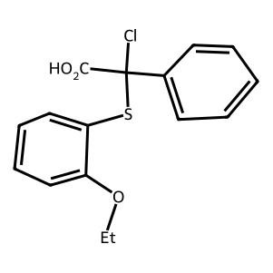 CCOc1ccccc1SC(Cl)(C(=O)O)c1ccccc1